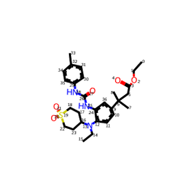 CCOC(=O)CC(C)(C)c1ccc(N(CC)C2CCS(=O)(=O)CC2)c(NC(=O)Nc2ccc(C)cc2)c1